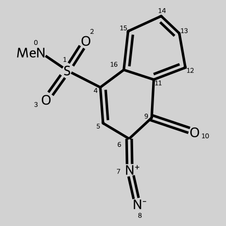 CNS(=O)(=O)C1=CC(=[N+]=[N-])C(=O)c2ccccc21